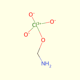 NCO[Cl+3]([O-])([O-])[O-]